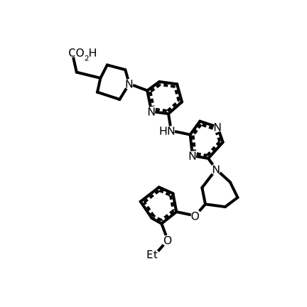 CCOc1ccccc1OC1CCCN(c2cncc(Nc3cccc(N4CCC(CC(=O)O)CC4)n3)n2)C1